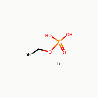 CCCCOP(=O)(O)O.[Ti]